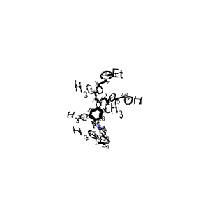 CCOCCOC(C)CN(CC(C)OCCO)c1ccc(/N=N/c2scc[n+]2C)c(C)c1